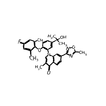 Cc1nc(-c2ccc3c(=O)c(C)cn(-c4cc(C(C)(C)O)ccc4Oc4c(C)cc(F)cc4C)c3c2)no1